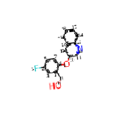 OCc1cc(F)ccc1Oc1cnc2ccccc2c1